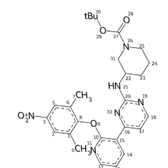 Cc1cc([N+](=O)[O-])cc(C)c1Oc1ncccc1-c1ccnc(NC2CCCN(C(=O)OC(C)(C)C)C2)n1